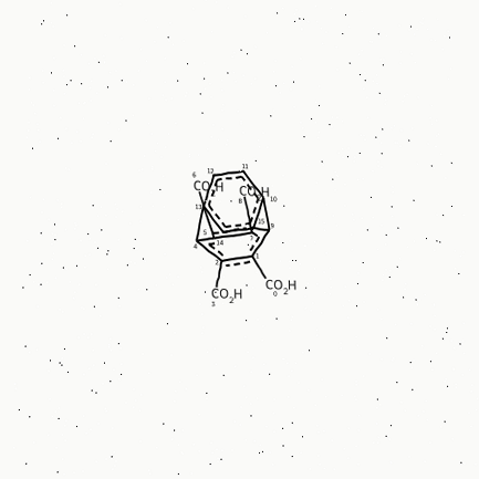 O=C(O)c1c(C(=O)O)c2c(C(=O)O)c(C(=O)O)c1-c1ccc-2cc1